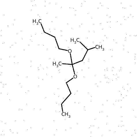 CCCCOC(C)(CC(C)C)OCCCC